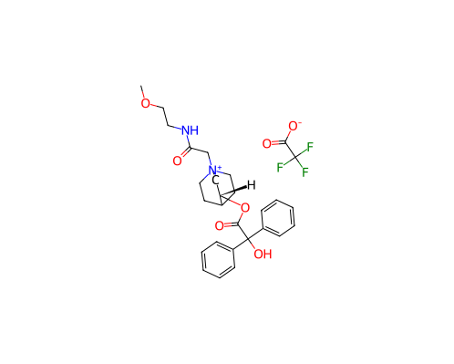 COCCNC(=O)C[N+]12CCC(CC1)[C@@H](OC(=O)C(O)(c1ccccc1)c1ccccc1)C2.O=C([O-])C(F)(F)F